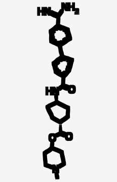 CN1CCC(OC(=O)[C@H]2CC[C@H](NC(=O)c3ccc(-c4ccc(C(=N)N)cc4)cc3)CC2)CC1